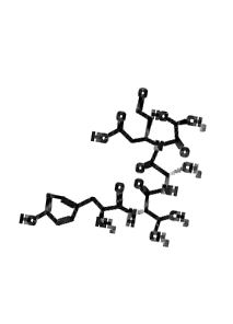 CC(C)[C@H](NC(=O)[C@@H](N)Cc1ccc(O)cc1)C(=O)N[C@@H](C)C(=O)N(C(=O)[C@H](C)O)[C@H](CC=O)CC(=O)O